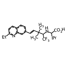 CCc1ccc2ccc(/C=C/C(C)(C)C(NC(C(=O)O)C(C)C)C(F)(F)F)cc2n1